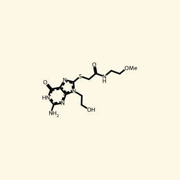 COCCNC(=O)CSc1nc2c(=O)[nH]c(N)nc2n1CCO